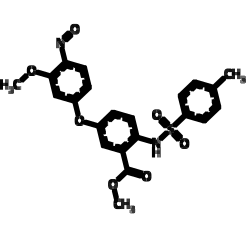 COC(=O)c1cc(Oc2ccc(N=O)c(OC)c2)ccc1NS(=O)(=O)c1ccc(C)cc1